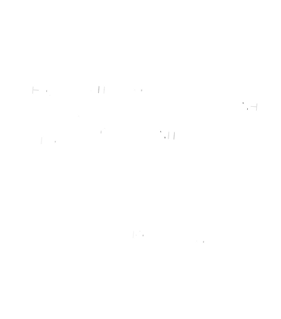 CC(C)(C)OC(=O)NC1CCNCC1CCC(=O)O